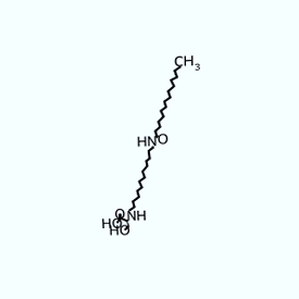 CCCCCCCCCCCCCCCC(=O)NCCCCCCCCCCCCCCN[C@@H](CO)C(=O)O